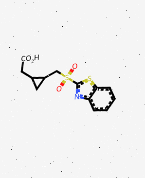 O=C(O)CC1CC1CS(=O)(=O)c1nc2ccccc2s1